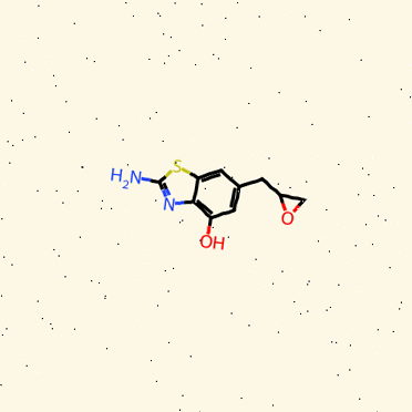 Nc1nc2c(O)cc(CC3CO3)cc2s1